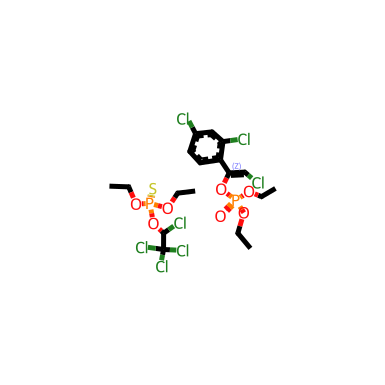 CCOP(=O)(OCC)O/C(=C\Cl)c1ccc(Cl)cc1Cl.CCOP(=S)(OCC)OC(Cl)C(Cl)(Cl)Cl